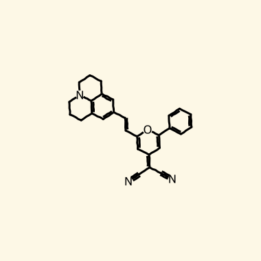 N#CC(C#N)=C1C=C(C=Cc2cc3c4c(c2)CCCN4CCC3)OC(c2ccccc2)=C1